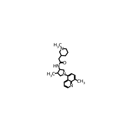 Cc1ccc(N2CC(C)C(NC(=O)CC3CCCN(C)C3)C2)c2cccnc12